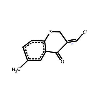 Cc1ccc2c(c1)C(=O)/C(=C/Cl)CS2